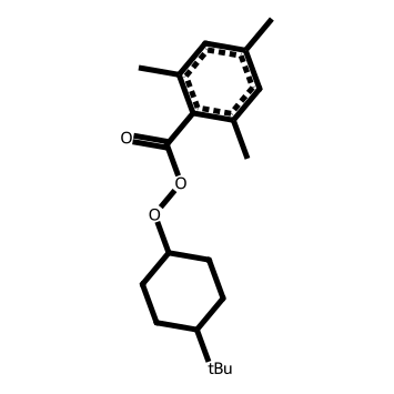 Cc1cc(C)c(C(=O)OO[C]2CCC(C(C)(C)C)CC2)c(C)c1